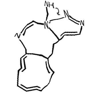 N[N+]12C=Nc3ccccc3C1=CN=N2